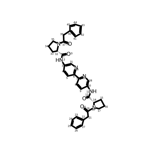 O=C(Nc1ccc(-c2ccc(NC(=O)[C@@H]3CCCN3C(=O)Cc3ccccc3)cn2)nc1)[C@@H]1CCCN1C(=O)Cc1ccccc1